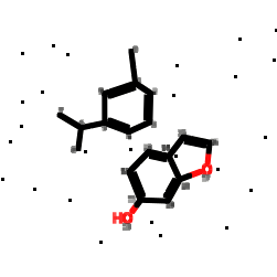 Cc1cccc(C(C)C)c1.Oc1ccc2ccoc2c1